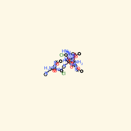 CC1(C)N=C(N2CCN(C(=O)[C@H](N)CCCCN3CCCCC3)[C@H](C(=O)NCc3cc(Cl)cc(C4CCN(CCCC[C@@H](N)C(=O)N5CCN(C6=NC(C)(C)C(c7ccccc7)O6)C[C@H]5C(=O)NCc5cc(Cl)ccc5N/C(=N\N=N)C5CCCN(CCCC[C@@H](N)C(=O)N6CCN(C7=NC(C)(C)C(c8ccccc8)O7)C[C@H]6C(=O)NCc6cc7cnccc7s6)C5)CC4)c3)C2)OC1c1ccccc1